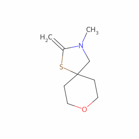 C=C1SC2(CCOCC2)CN1C